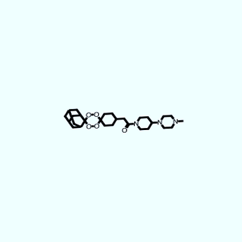 CN1CCN(C2CCN(C(=O)CC3CCC4(CC3)OOC3(OO4)C4CC5CC(C4)CC3C5)CC2)CC1